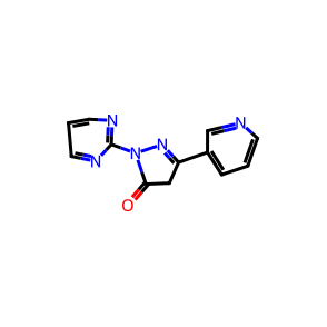 O=C1CC(c2cccnc2)=NN1c1ncccn1